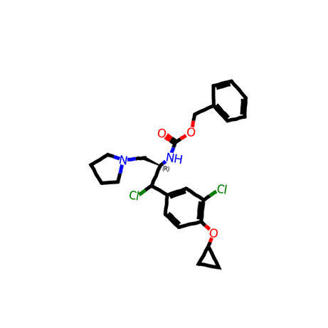 O=C(N[C@H](CN1CCCC1)C(Cl)c1ccc(OC2CC2)c(Cl)c1)OCc1ccccc1